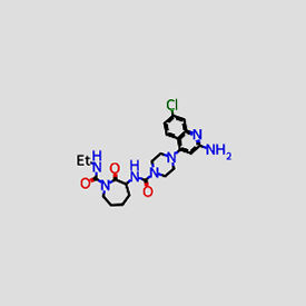 CCNC(=O)N1CCCCC(NC(=O)N2CCN(c3cc(N)nc4cc(Cl)ccc34)CC2)C1=O